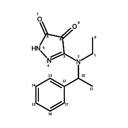 CCN(C1=NNC(=O)C1=O)C(C)c1ccccc1